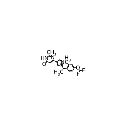 Cc1nc(-c2cnn([C@@H](C)c3ccc(OC(F)F)cc3C)c2)cc(=O)[nH]1